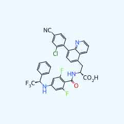 N#Cc1ccc(-c2ccc(C[C@H](NC(=O)c3c(F)cc(N[C@H](c4ccccc4)C(F)(F)F)cc3F)C(=O)O)c3cccnc23)c(Cl)c1